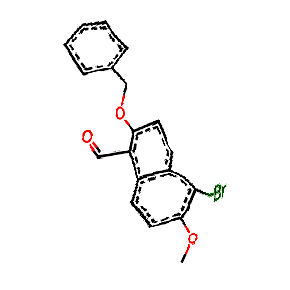 COc1ccc2c(C=O)c(OCc3ccccc3)ccc2c1Br